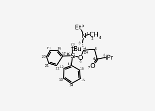 CCN(C)C[C@H](CC(=O)C(C)C)O[Si](c1ccccc1)(c1ccccc1)C(C)(C)C